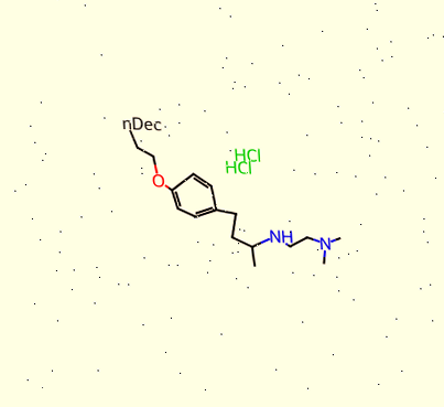 CCCCCCCCCCCCOc1ccc(CCC(C)NCCN(C)C)cc1.Cl.Cl